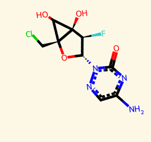 Nc1cnn([C@@H]2O[C@]3(CCl)C(O)[C@]3(O)[C@H]2F)c(=O)n1